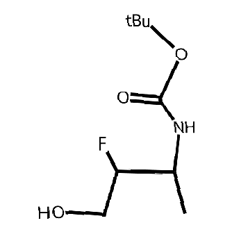 CC(NC(=O)OC(C)(C)C)C(F)CO